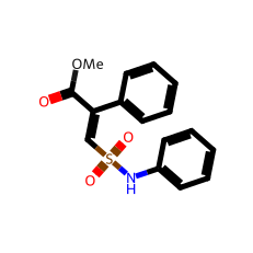 COC(=O)C(=CS(=O)(=O)Nc1ccccc1)c1ccccc1